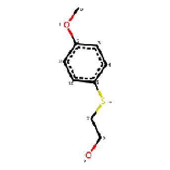 COc1ccc(SCC[O])cc1